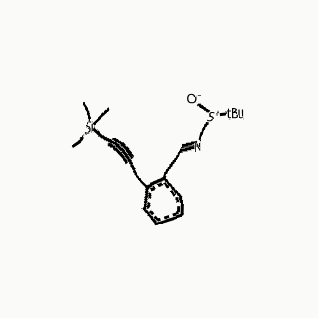 CC(C)(C)[S+]([O-])N=Cc1ccccc1C#C[Si](C)(C)C